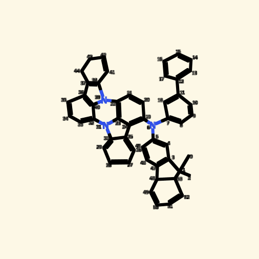 CC1(C)c2cc(N(c3cccc(-c4ccccc4)c3)c3ccc4c5c3c3ccccc3n5c3cccc5c6c(n4c53)C=CCC6)ccc2C2C=CC=CC21